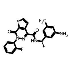 C[C@@H](NC(=O)c1nn(-c2ccccc2F)c(=O)c2sccc12)c1cc(N)cc(C(F)(F)F)c1